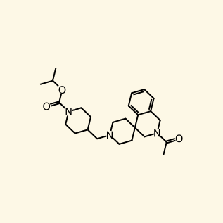 CC(=O)N1Cc2ccccc2C2(CCN(CC3CCN(C(=O)OC(C)C)CC3)CC2)C1